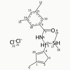 CC1=CC[C]([Hf+2]([NH]C(=O)c2cc(C)cc(C)c2)[SiH](C)C)=C1.[Cl-].[Cl-]